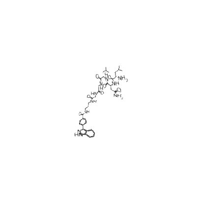 CC(C)C[C@H](NC(=O)[C@H](CC(N)=O)NC(=O)[C@@H](N)CC(C)C)C(=O)NCC(=O)NCC(=O)NCCCNC(=O)c1ccc(-c2n[nH]c3ccccc23)cc1